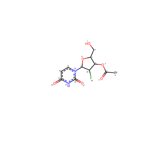 CC(C)C(=O)OC1C(CO)OC(n2ccc(=O)[nH]c2=O)C1F